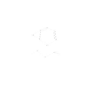 O=C(O)CCCS.c1ccc2c(c1)C2